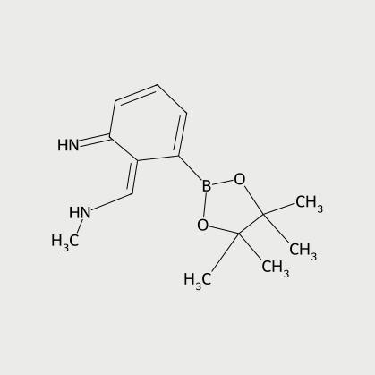 CN/C=C1\C(=N)C=CC=C1B1OC(C)(C)C(C)(C)O1